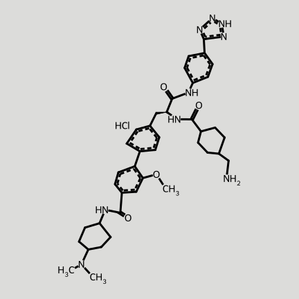 COc1cc(C(=O)NC2CCC(N(C)C)CC2)ccc1-c1ccc(C[C@H](NC(=O)C2CCC(CN)CC2)C(=O)Nc2ccc(-c3nn[nH]n3)cc2)cc1.Cl